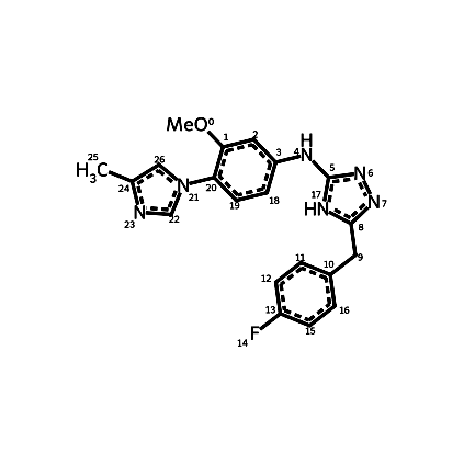 COc1cc(Nc2nnc(Cc3ccc(F)cc3)[nH]2)ccc1-n1cnc(C)c1